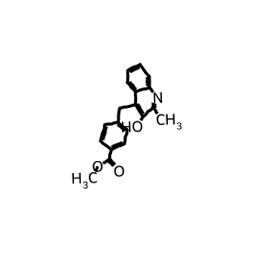 COC(=O)c1ccc(Cc2c(O)c(C)nc3ccccc23)cc1